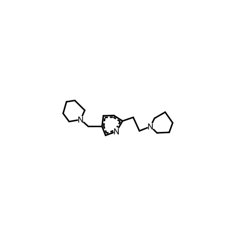 c1cc(CCN2CCCCC2)ncc1CN1CCCCC1